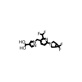 OC(O)c1cnn(Cc2ccc(N3CC4C(C3)C4(F)F)nc2C(F)F)c1